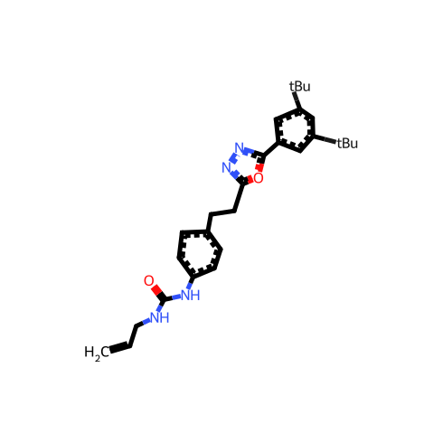 C=CCNC(=O)Nc1ccc(CCc2nnc(-c3cc(C(C)(C)C)cc(C(C)(C)C)c3)o2)cc1